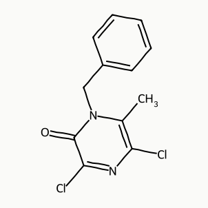 Cc1c(Cl)nc(Cl)c(=O)n1Cc1ccccc1